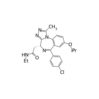 CCNC(=O)C[C@H]1N=C(c2ccc(Cl)cc2)c2cc(OC(C)C)ccc2-n2c(C)nnc21